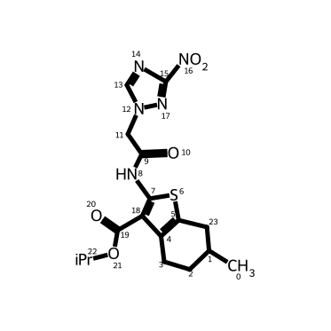 CC1CCc2c(sc(NC(=O)Cn3cnc([N+](=O)[O-])n3)c2C(=O)OC(C)C)C1